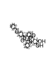 COC(=O)c1cc(O)c(O)cc1-n1cc(C(=O)N(c2ccccc2)c2ccc(OCc3ccccc3)cc2)c2ccccc21